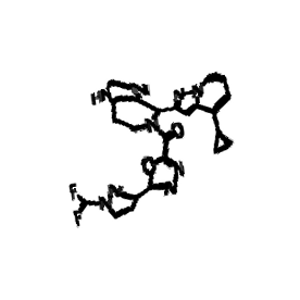 O=C(c1nnc(-c2ccn(C(F)F)n2)o1)N1CCc2[nH]cnc2C1c1cc2c(C3CC3)cccn2n1